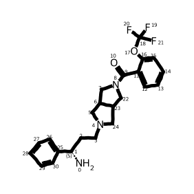 N[C@@H](CCN1CC2CN(C(=O)c3ccccc3OC(F)(F)F)CC2C1)c1ccccc1